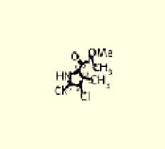 CON(C)C(=O)c1[nH]c(Cl)c(Cl)c1C